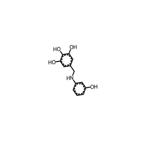 Oc1cccc(NCc2cc(O)c(O)c(O)c2)c1